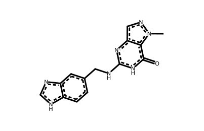 Cn1ncc2nc(NCc3ccc4[nH]cnc4c3)[nH]c(=O)c21